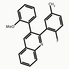 COc1ccccc1-c1cc2ccccc2nc1-c1cc(C)ccc1F